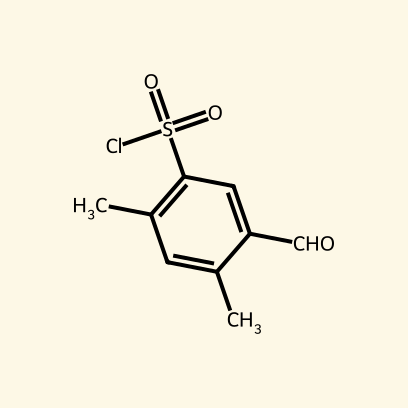 Cc1cc(C)c(S(=O)(=O)Cl)cc1C=O